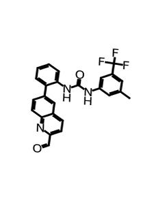 Cc1cc(NC(=O)Nc2ccccc2-c2ccc3nc(C=O)ccc3c2)cc(C(F)(F)F)c1